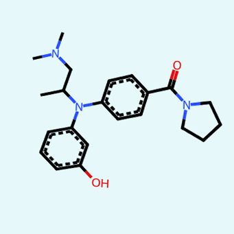 CC(CN(C)C)N(c1ccc(C(=O)N2CCCC2)cc1)c1cccc(O)c1